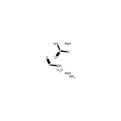 O.O=NO.O=[N+]([O-])O.[AlH3].[NaH].[NaH]